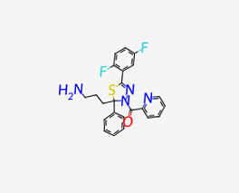 NCCCC1(c2ccccc2)SC(c2cc(F)ccc2F)=NN1C(=O)c1ccccn1